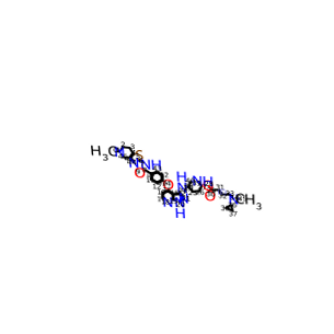 CN1CCc2sc(NC(=O)c3ccc(Oc4ccnc5[nH]nc(N[C@@H]6CCC(OC(=O)/C=C/CN(C)C7CC7)NC6)c45)cc3)nc2C1